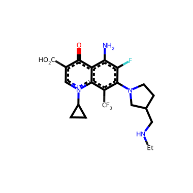 CCNCC1CCN(c2c(F)c(N)c3c(=O)c(C(=O)O)cn(C4CC4)c3c2C(F)(F)F)C1